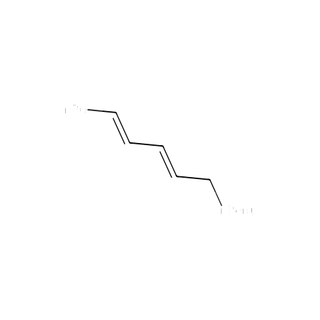 CCCCC=CC=CCCCCCC